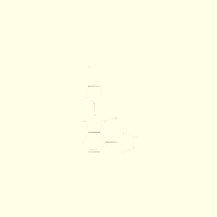 Nn1c(C2=NC(CO)CS2)cc2cccc(C3CCCC3)c21